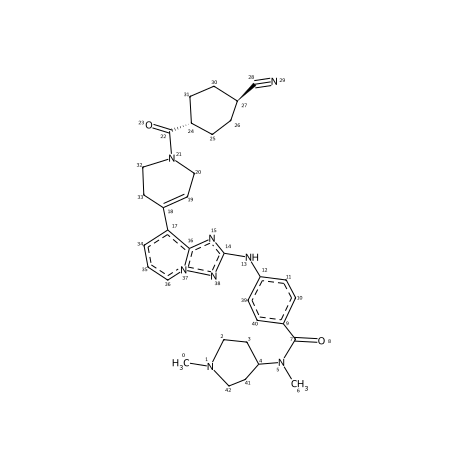 CN1CCC(N(C)C(=O)c2ccc(Nc3nc4c(C5=CCN(C(=O)[C@H]6CC[C@H](C#N)CC6)CC5)cccn4n3)cc2)CC1